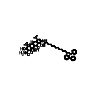 CN(C)c1cc(NC(=O)CCCCCCCCCCCCC[PH](c2ccccc2)(c2ccccc2)c2ccccc2)c(O)c2c1C[C@H]1C[C@H]3[C@H](N(C)C)C(O)=C(C(N)=O)C(=O)[C@@]3(O)C(O)=C1C2=O